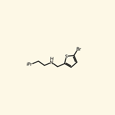 CC(C)CCNCc1ccc(Br)s1